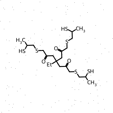 CCC(CC(=O)CSCC(C)S)(CC(=O)CSCC(C)S)CC(=O)CSCC(C)S